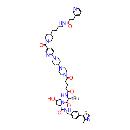 Cc1ncsc1-c1ccc(CNC(=O)[C@@H]2C[C@@H](O)CN2C(=O)[C@@H](NC(=O)CCCC(=O)N2CCN(C3CCN(c4ccc(C(=O)N5CCC(CCCCNC(=O)/C=C/c6cccnc6)CC5)cn4)CC3)CC2)C(C)(C)C)cc1